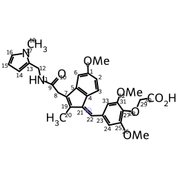 COc1ccc2c(c1)C(CC(=O)NCc1cccn1C)=C(C)/C2=C/c1cc(OC)c(OCC(=O)O)c(OC)c1